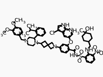 COc1ccc(CN2CCN(C3CC4(C3)CN(c3ccc(C(=O)NS(=O)(=O)c5cccc([N+](=O)[O-])c5NCC5CCC(C)(O)CC5)c(Oc5cnc6[nH]cc(Cl)c6c5)c3)C4)C(c3ccccc3C(C)C)C2)cc1OC